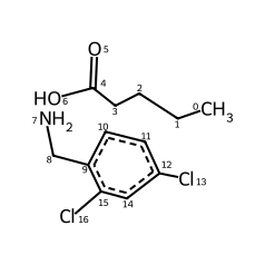 CCCCC(=O)O.NCc1ccc(Cl)cc1Cl